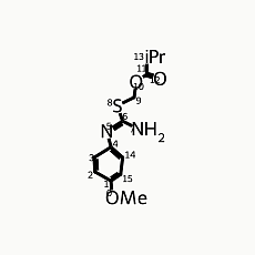 COc1ccc(/N=C(\N)SCOC(=O)C(C)C)cc1